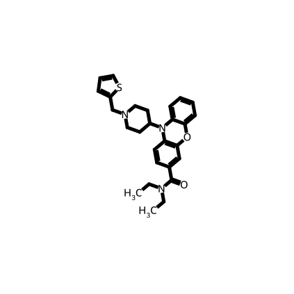 CCN(CC)C(=O)c1ccc2c(c1)Oc1ccccc1N2C1CCN(Cc2cccs2)CC1